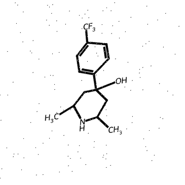 CC1CC(O)(c2ccc(C(F)(F)F)cc2)CC(C)N1